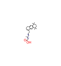 CC(/C=C/CC1=CCCc2cc3c(cc21)C(C)(C)CCC3(C)C)=C\C(=O)O